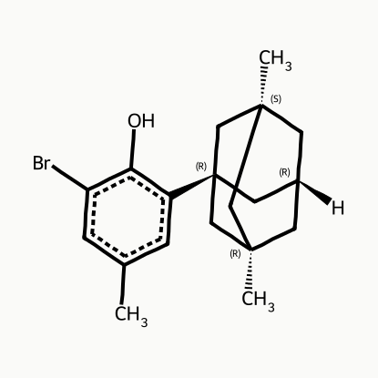 Cc1cc(Br)c(O)c([C@@]23C[C@@H]4C[C@@](C)(C[C@@](C)(C4)C2)C3)c1